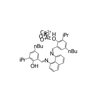 CC(=O)[O-].CC(=O)[O-].CCCCc1cc(C=Nc2cccc3cccc(N=Cc4cc(CCCC)cc(C(C)C)c4O)c23)c(O)c(C(C)C)c1.[Co+2]